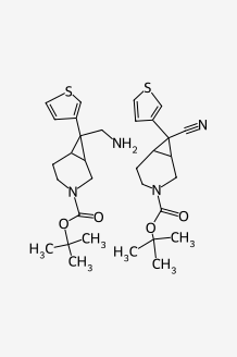 CC(C)(C)OC(=O)N1CCC2C(C1)C2(C#N)c1ccsc1.CC(C)(C)OC(=O)N1CCC2C(C1)C2(CN)c1ccsc1